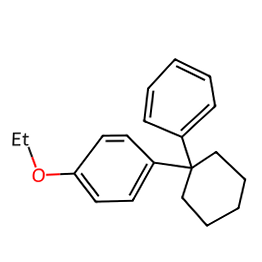 CCOc1ccc(C2(c3ccccc3)CCCCC2)cc1